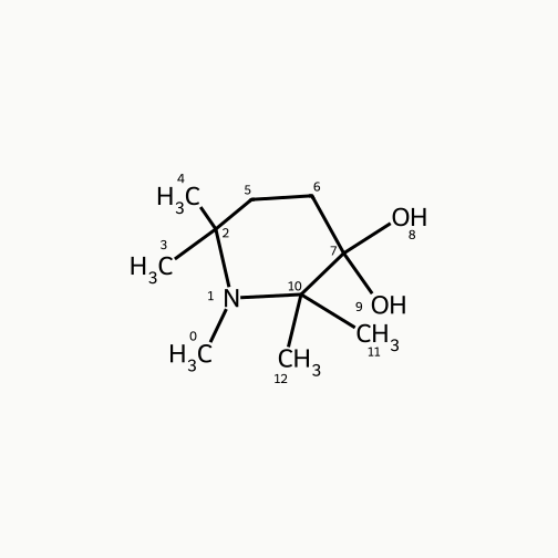 CN1C(C)(C)CCC(O)(O)C1(C)C